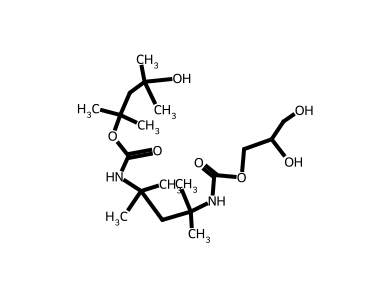 CC(C)(O)CC(C)(C)OC(=O)NC(C)(C)CC(C)(C)NC(=O)OCC(O)CO